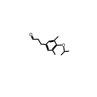 Cc1cc(CCC=O)cc(C)c1OC(C)C